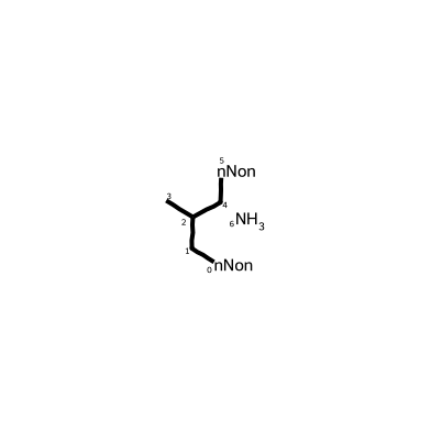 CCCCCCCCCCC(C)CCCCCCCCCC.N